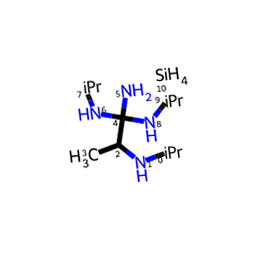 CC(C)NC(C)C(N)(NC(C)C)NC(C)C.[SiH4]